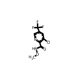 CONC(=O)c1ncc(C(F)(F)F)cc1Cl